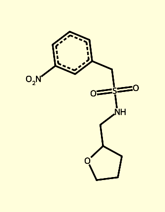 O=[N+]([O-])c1cccc(CS(=O)(=O)NCC2CCCO2)c1